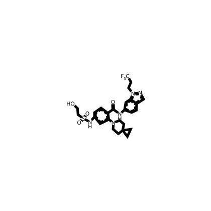 O=C(Nc1ccc2cnn(CCC(F)(F)F)c2c1)c1ccc(NS(=O)(=O)CCO)cc1N1CCC2(CC1)CC2